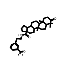 CC1(C)C(=O)CCC2(C)C1CCC1(C)C3CCC4(C(=O)NCCc5cccc(C(=O)O)c5)CCCC4C3CCC12